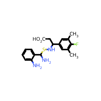 Cc1cc(C(CC(=O)O)NSC(N)c2ccccc2N)cc(C)c1F